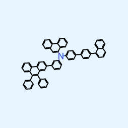 c1ccc(-c2c(-c3ccccc3)c3cc(-c4cccc(N(c5ccc(-c6ccc(-c7cccc8ccccc78)cc6)cc5)c5cc6ccccc6c6ccccc56)c4)ccc3c3ccccc23)cc1